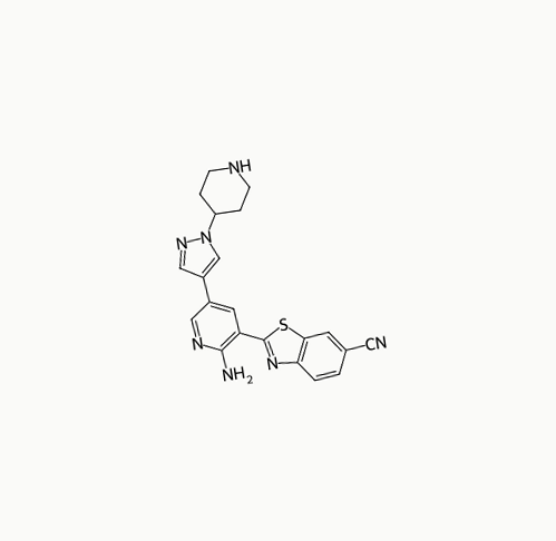 N#Cc1ccc2nc(-c3cc(-c4cnn(C5CCNCC5)c4)cnc3N)sc2c1